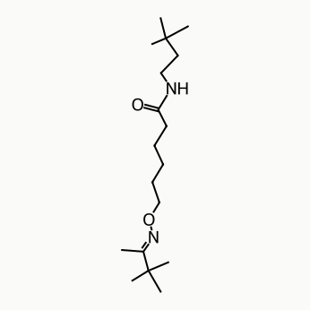 C/C(=N\OCCCCCC(=O)NCCC(C)(C)C)C(C)(C)C